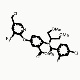 COCC(COC)N(C(=O)c1ccc(Cl)cc1F)c1ccc(Oc2ncc(CCl)cc2C(F)(F)F)cc1C(=O)OC